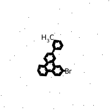 Cc1cccc(-c2ccc3c4ccccc4c4ccc(Br)cc4c3c2)c1